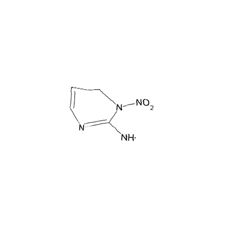 [NH]C1=NC=CCN1[N+](=O)[O-]